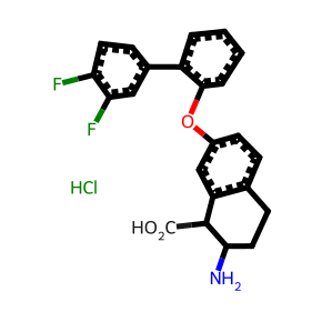 Cl.NC1CCc2ccc(Oc3ccccc3-c3ccc(F)c(F)c3)cc2C1C(=O)O